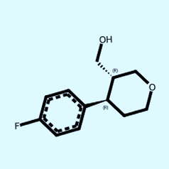 OC[C@@H]1COCC[C@H]1c1ccc(F)cc1